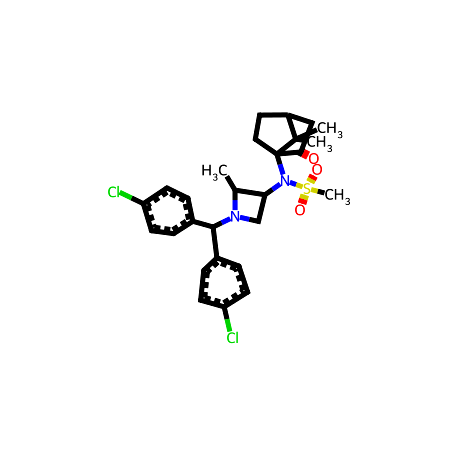 CC1C(N(C23CCC(CC2=O)C3(C)C)S(C)(=O)=O)CN1C(c1ccc(Cl)cc1)c1ccc(Cl)cc1